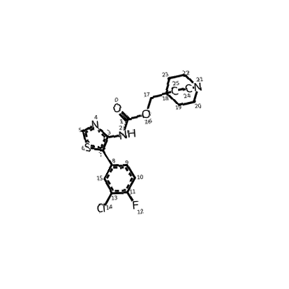 O=C(Nc1ncsc1-c1ccc(F)c(Cl)c1)OCC12CCN(CC1)CC2